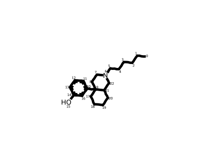 CCCCCCN1CCC2(c3cccc(O)c3)CCCCC2C1